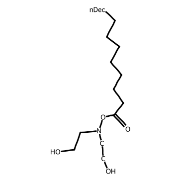 CCCCCCCCCCCCCCCCCC(=O)ON(CCO)CCO